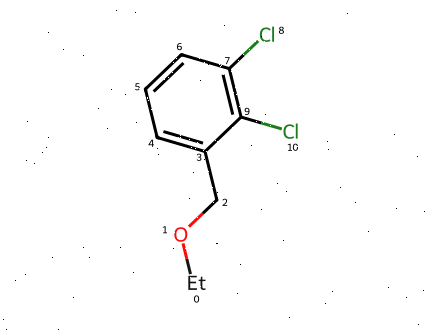 CCOCc1cccc(Cl)c1Cl